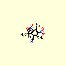 Cc1c(C#N)c(C(C)(C)C)c([N+](=O)[O-])c(C)c1[N+](=O)[O-]